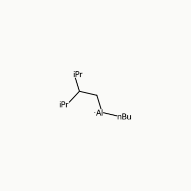 CCC[CH2][Al][CH2]C(C(C)C)C(C)C